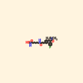 CN(C)C(=O)/C(=C/c1ccc(C=CC(=O)NCCCCCC(=O)NO)cc1)c1ccc(F)cc1